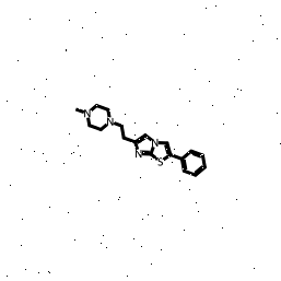 CN1CCN(CCc2cn3cc(-c4ccccc4)sc3n2)CC1